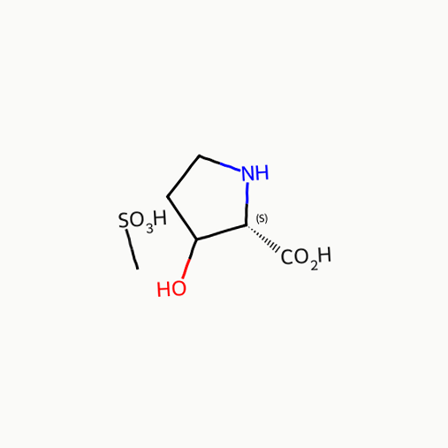 CS(=O)(=O)O.O=C(O)[C@H]1NCCC1O